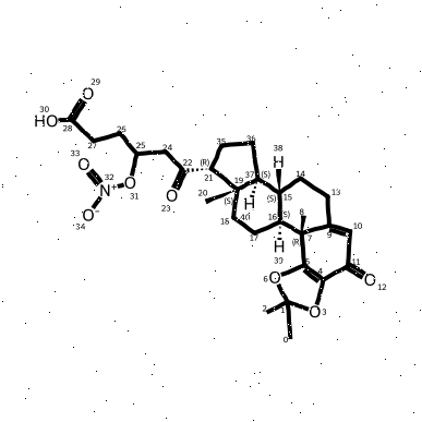 CC1(C)OC2=C(O1)[C@@]1(C)C(=CC2=O)CC[C@@H]2[C@@H]1CC[C@]1(C)[C@H](C(=O)CC(CCC(=O)O)O[N+](=O)[O-])CC[C@@H]21